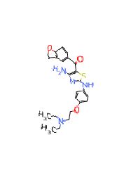 CCN(CC)CCOc1ccc(Nc2nc(N)c(C(=O)c3ccc4c(c3)CCO4)s2)cc1